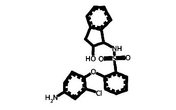 Nc1ccc(Oc2ccccc2S(=O)(=O)NC2c3ccccc3CC2O)c(Cl)c1